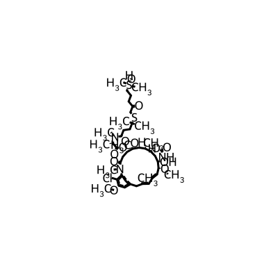 COc1cc2cc(c1Cl)N(C)C(=O)C[C@H](OC(=O)[C@H](C)N(C)C(=O)CCC(C)(C)SCC(=O)CCC[SH](C)(C)=O)[C@]1(C)O[C@H]1[C@H](C)[C@@H]1C[C@@](O)(NC(=O)O1)[C@H](OC)/C=C/C=C(\C)C2